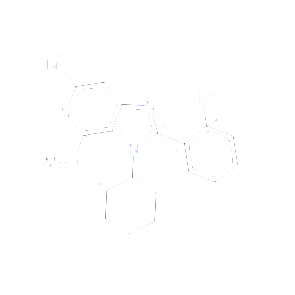 COc1nc(Br)cc2nc(-c3ccccc3F)n(C3CCCCC3)c12